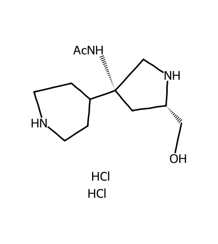 CC(=O)N[C@]1(C2CCNCC2)CN[C@H](CO)C1.Cl.Cl